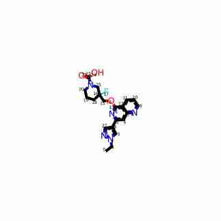 CCn1cc(-c2cc3ncccc3c(OC[C@]3(F)CCCN(C(=O)O)C3)n2)cn1